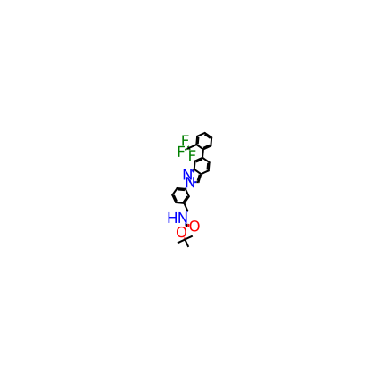 CC(C)(C)OC(=O)NCc1cccc(-n2cc3ccc(-c4ccccc4C(F)(F)F)cc3n2)c1